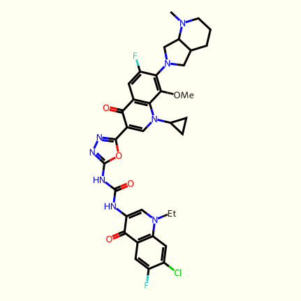 CCn1cc(NC(=O)Nc2nnc(-c3cn(C4CC4)c4c(OC)c(N5CC6CCCN(C)C6C5)c(F)cc4c3=O)o2)c(=O)c2cc(F)c(Cl)cc21